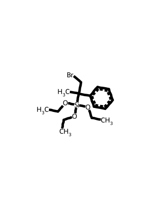 CCO[Si](OCC)(OCC)C(C)(CBr)c1ccccc1